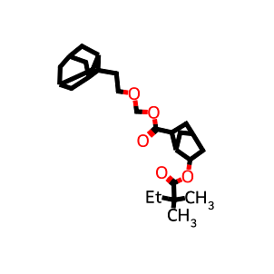 CCC(C)(C)C(=O)OC1CC2CC(C(=O)OCOCCC3C4CC5CC(C4)CC3C5)C1C2